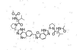 COC(=O)N[C@H](C(=O)N1CCC[C@H]1c1nc2ncc3cc(-c4nc5ccc6nc([C@@H]7CCCN7C(=O)[C@@H](NC(C)=O)C(C)C)[nH]c6c5o4)ccc3c2[nH]1)C(C)C